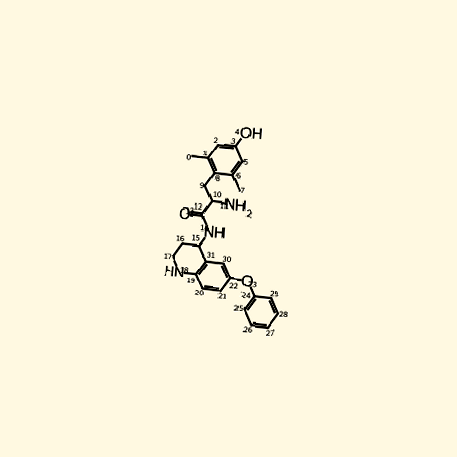 Cc1cc(O)cc(C)c1CC(N)C(=O)NC1CCNc2ccc(Oc3ccccc3)cc21